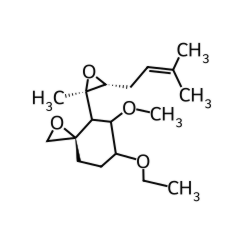 CCOC1CC[C@]2(CO2)C([C@@]2(C)O[C@@H]2CC=C(C)C)C1OC